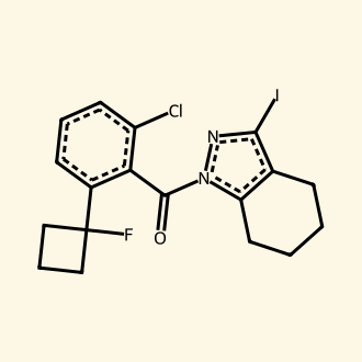 O=C(c1c(Cl)cccc1C1(F)CCC1)n1nc(I)c2c1CCCC2